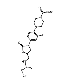 COC(=O)N1CCN(c2ccc(N3CC(CNC(=S)OC(C)C)OC3=O)cc2F)CC1